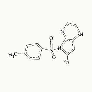 [2H]c1cc2nccnc2n1S(=O)(=O)c1ccc(C)cc1